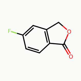 O=C1OCc2cc(F)ccc21